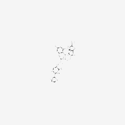 CCc1nn2c3c(nc2s1)CCN(C(=O)COc1ccc(-c2ncco2)nc1Cl)C3c1ccc(Cl)cc1F